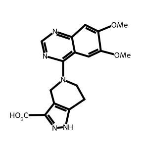 COc1cc2ncnc(N3CCc4[nH]nc(C(=O)O)c4C3)c2cc1OC